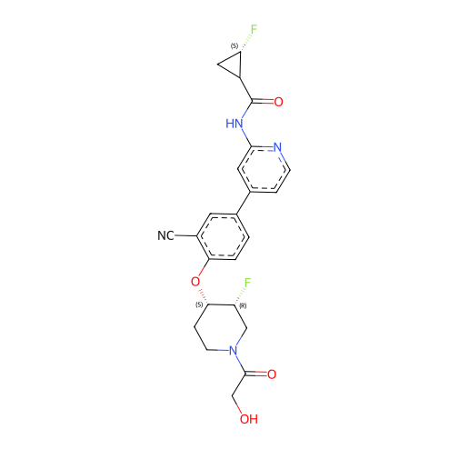 N#Cc1cc(-c2ccnc(NC(=O)C3C[C@@H]3F)c2)ccc1O[C@H]1CCN(C(=O)CO)C[C@H]1F